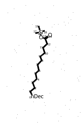 CCCCCCCCCCCCCCCCCCCCCCC(=O)O[Si](C)(C)C